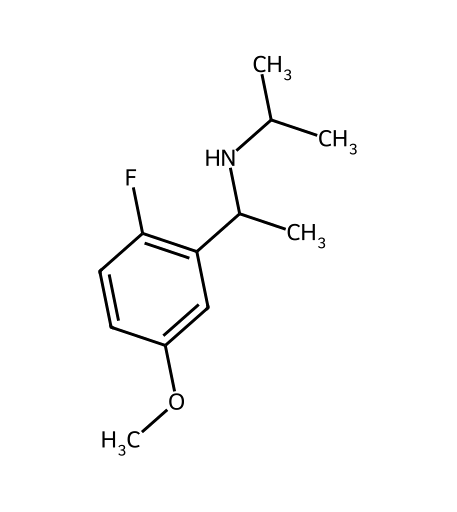 COc1ccc(F)c(C(C)NC(C)C)c1